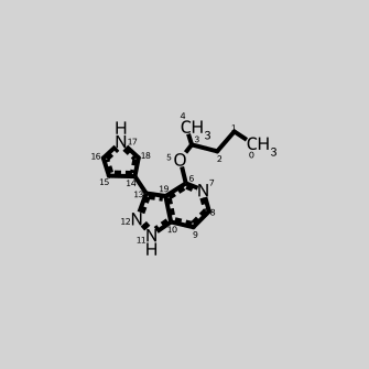 CCCC(C)Oc1nccc2[nH]nc(-c3cc[nH]c3)c12